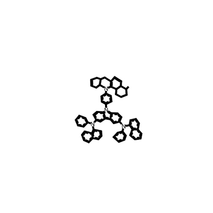 CC1CCCC2C3=C(C=CC12)CC1CC=CCC1N3c1ccc(-n2c3ccc(N(c4ccccc4)c4cccc5ccccc45)cc3c3cc(N(c4ccccc4)c4cccc5ccccc45)ccc32)cc1